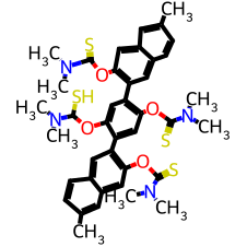 Cc1ccc2cc(-c3cc(OC(S)N(C)C)c(-c4cc5ccc(C)cc5cc4OC(=S)N(C)C)cc3OC(=S)N(C)C)c(OC(=S)N(C)C)cc2c1